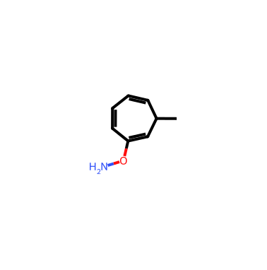 CC1C=CC=CC(ON)=C1